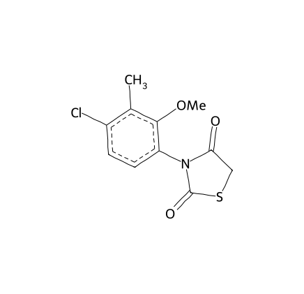 COc1c(N2C(=O)CSC2=O)ccc(Cl)c1C